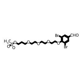 CS(=O)(=O)OCCCOCCOCCOCCOc1c(Br)cc(C=O)cc1Br